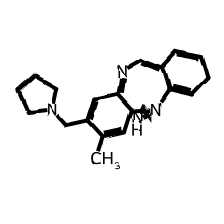 CC1=CC23NC=CN2C2=CCC=CC2=CN=C3C=C1CN1CCCC1